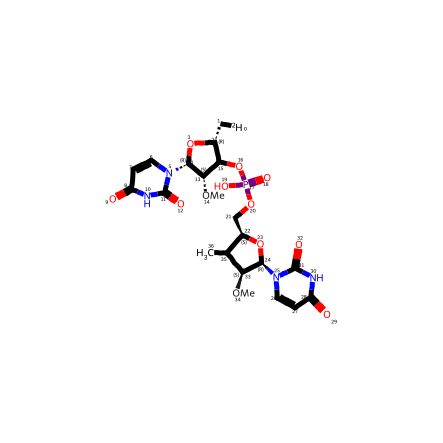 [2H]C[C@H]1O[C@@H](n2ccc(=O)[nH]c2=O)[C@@H](OC)C1OP(=O)(O)OC[C@H]1O[C@@H](n2ccc(=O)[nH]c2=O)[C@@H](OC)C1C